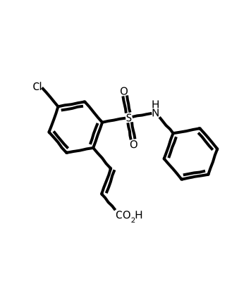 O=C(O)C=Cc1ccc(Cl)cc1S(=O)(=O)Nc1ccccc1